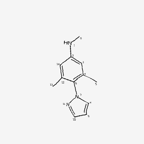 CNc1cc(C)c(-n2cccn2)c(C)c1